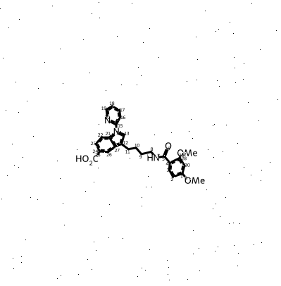 COc1ccc(C(=O)NCCCCc2cn(-c3ccccn3)c3ccc(C(=O)O)cc23)c(OC)c1